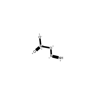 N=NO[N+](=O)[O-]